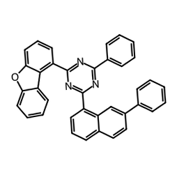 c1ccc(-c2ccc3cccc(-c4nc(-c5ccccc5)nc(-c5cccc6oc7ccccc7c56)n4)c3c2)cc1